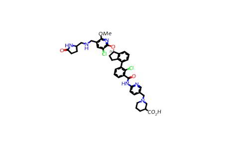 COc1nc(O[C@H]2CCc3c(-c4cccc(C(=O)Nc5ccc(CN6CCCC(C(=O)O)C6)cn5)c4Cl)cccc32)c(Cl)cc1CNCC1CCC(=O)N1